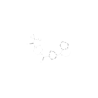 NC1(C(=O)N2CCN(C(=O)c3ccc(N4CCCc5ccccc54)cc3)CC2)CC1